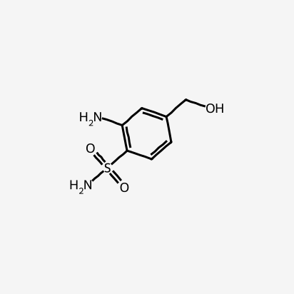 Nc1cc(CO)ccc1S(N)(=O)=O